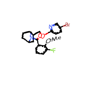 COc1c(F)cccc1C(=O)N1C2CCC1C(COc1ccc(Br)cn1)C2